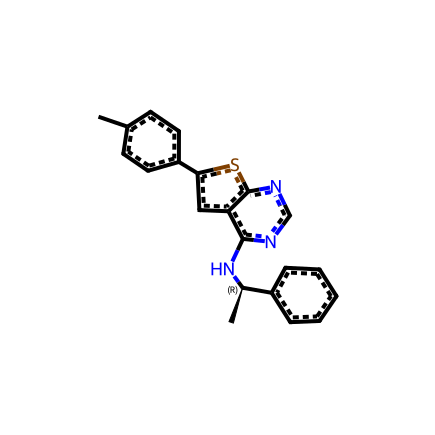 Cc1ccc(-c2cc3c(N[C@H](C)c4ccccc4)ncnc3s2)cc1